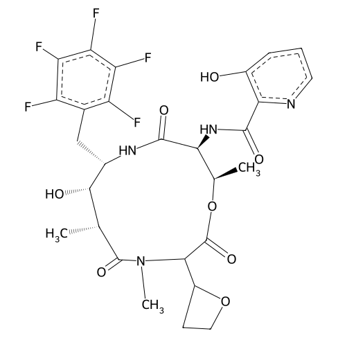 C[C@H]1OC(=O)C(C2CCO2)N(C)C(=O)[C@H](C)[C@H](O)[C@H](Cc2c(F)c(F)c(F)c(F)c2F)NC(=O)[C@H]1NC(=O)c1ncccc1O